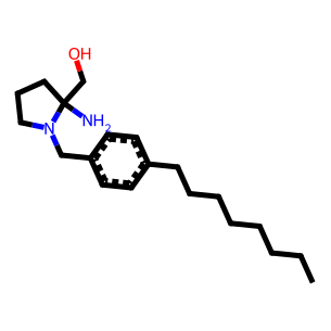 CCCCCCCCc1ccc(CN2CCCC2(N)CO)cc1